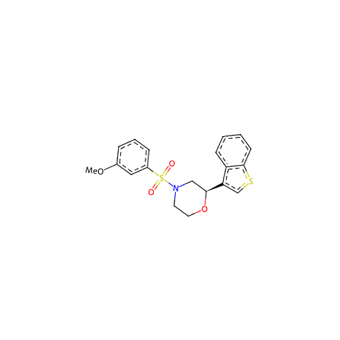 COc1cccc(S(=O)(=O)N2CCO[C@H](c3csc4ccccc34)C2)c1